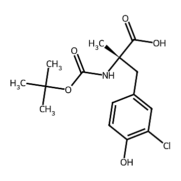 CC(C)(C)OC(=O)N[C@@](C)(Cc1ccc(O)c(Cl)c1)C(=O)O